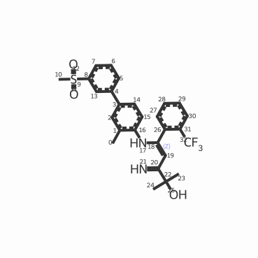 Cc1cc(-c2cccc(S(C)(=O)=O)c2)ccc1N/C(=C\C(=N)C(C)(C)O)c1ccccc1C(F)(F)F